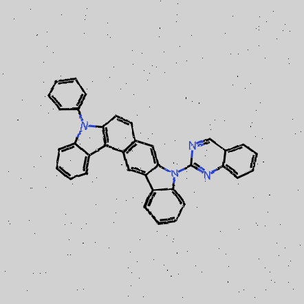 c1ccc(-n2c3ccccc3c3c4cc5c6ccccc6n(-c6ncc7ccccc7n6)c5cc4ccc32)cc1